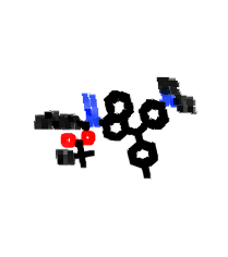 CCCCCCCCCC(Nc1ccc(C(c2ccc(C)cc2)c2ccc(N(CC)CC)cc2)c2ccccc12)OC(=O)C(C)(C)CC